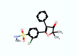 CCCCNS(=O)(=O)c1ccc(C2=C(c3ccccc3)C(=O)C(C)(C)O2)cc1Cl